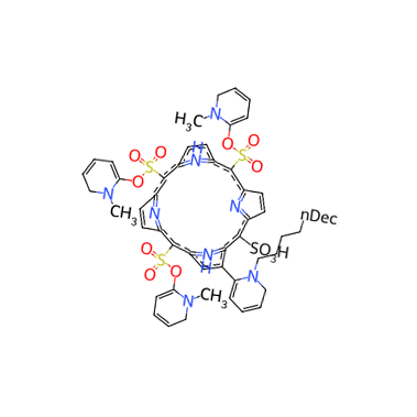 CCCCCCCCCCCCCCN1CC=CC=C1c1cc2[nH]c1c(S(=O)(=O)O)c1nc(c(S(=O)(=O)OC3=CC=CCN3C)c3ccc([nH]3)c(S(=O)(=O)OC3=CC=CCN3C)c3nc(c2S(=O)(=O)OC2=CC=CCN2C)C=C3)C=C1